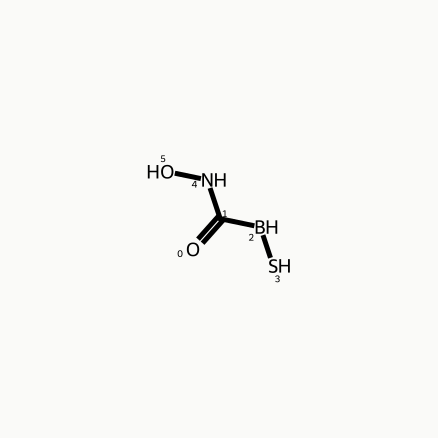 O=C(BS)NO